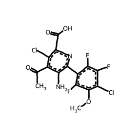 COc1c(F)c(-c2nc(C(=O)O)c(Cl)c(C(C)=O)c2N)c(F)c(F)c1Cl